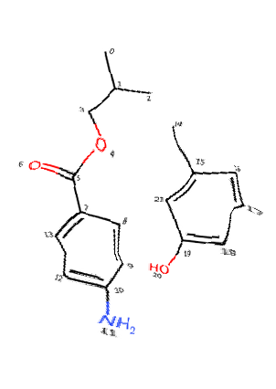 CC(C)COC(=O)c1ccc(N)cc1.Cc1cccc(O)c1